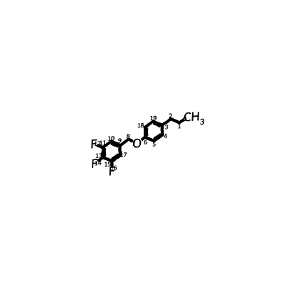 CCCc1ccc(OCc2cc(F)c(F)c(F)c2)cc1